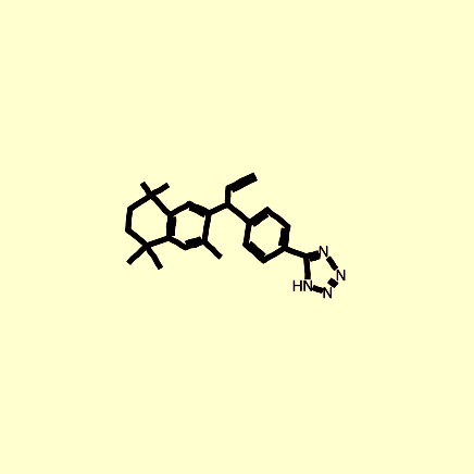 C=CC(c1ccc(-c2nnn[nH]2)cc1)c1cc2c(cc1C)C(C)(C)CCC2(C)C